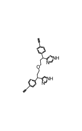 C#Cc1ccc(C(CCOCCC(c2ccc(C#C)cc2)c2c[nH]cn2)c2c[nH]cn2)cc1